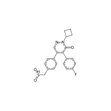 O=c1c(-c2ccc(F)cc2)c(-c2ccc(C[SH](=O)=O)cc2)cnn1C1CCC1